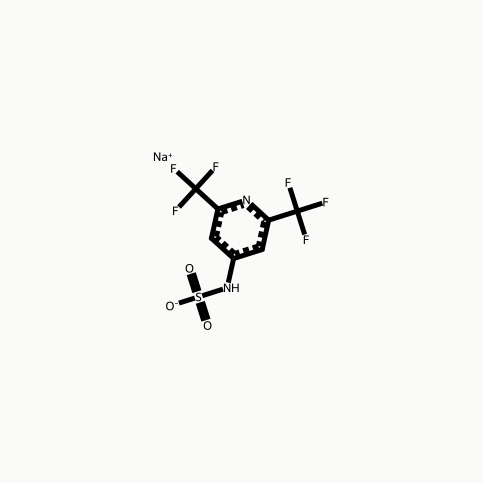 O=S(=O)([O-])Nc1cc(C(F)(F)F)nc(C(F)(F)F)c1.[Na+]